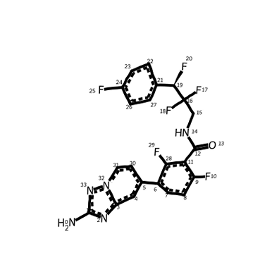 Nc1nc2cc(-c3ccc(F)c(C(=O)NCC(F)(F)[C@H](F)c4ccc(F)cc4)c3F)ccn2n1